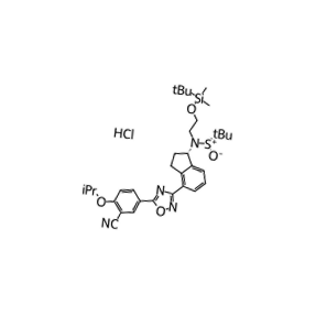 CC(C)Oc1ccc(-c2nc(-c3cccc4c3CC[C@@H]4N(CCO[Si](C)(C)C(C)(C)C)[S@+]([O-])C(C)(C)C)no2)cc1C#N.Cl